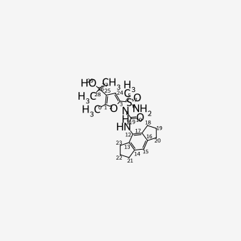 Cc1oc(S(C)(N)(=O)NC(=O)Nc2c3c(cc4c2CCC4)CCC3)cc1C(C)(C)O